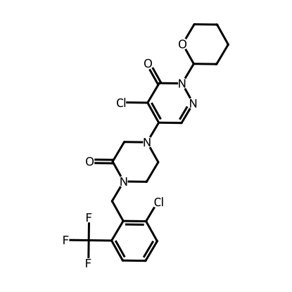 O=C1CN(c2cnn(C3CCCCO3)c(=O)c2Cl)CCN1Cc1c(Cl)cccc1C(F)(F)F